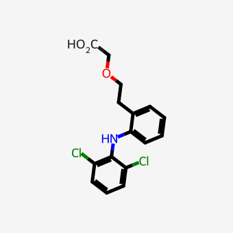 O=C(O)COCCc1ccccc1Nc1c(Cl)cccc1Cl